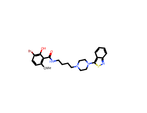 COc1ccc(Br)c(O)c1C(=O)NCCCCN1CCN(c2snc3ccccc23)CC1